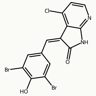 O=C1Nc2nccc(Cl)c2C1=Cc1cc(Br)c(O)c(Br)c1